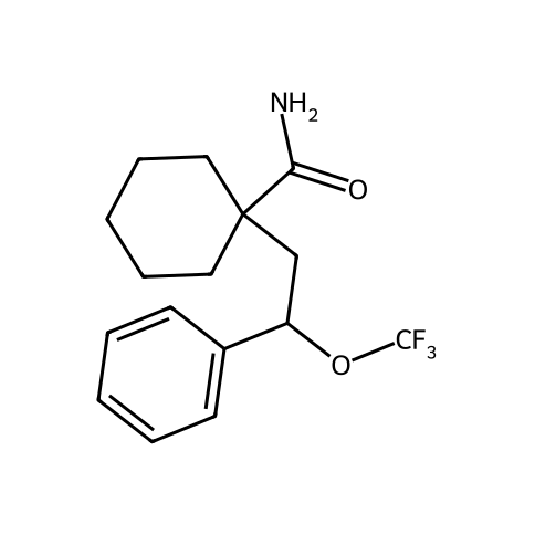 NC(=O)C1(CC(OC(F)(F)F)c2ccccc2)CCCCC1